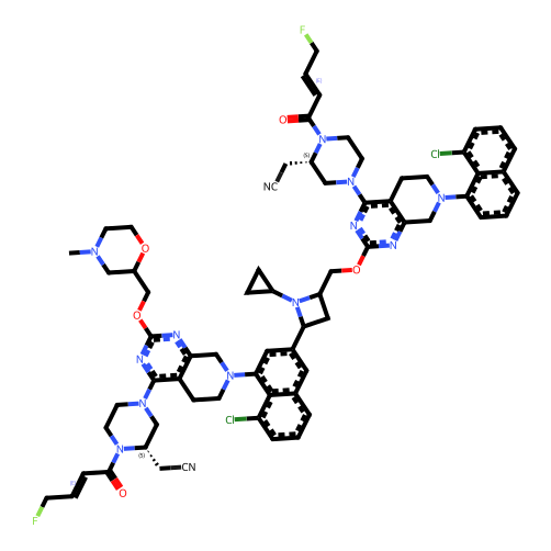 CN1CCOC(COc2nc3c(c(N4CCN(C(=O)/C=C/CF)[C@@H](CC#N)C4)n2)CCN(c2cc(C4CC(COc5nc6c(c(N7CCN(C(=O)/C=C/CF)[C@@H](CC#N)C7)n5)CCN(c5cccc7cccc(Cl)c57)C6)N4C4CC4)cc4cccc(Cl)c24)C3)C1